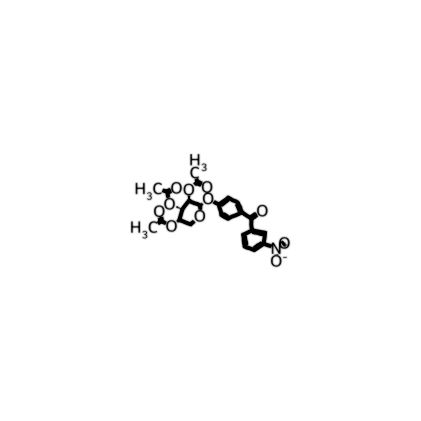 CC(=O)O[C@@H]1[C@@H](OC(C)=O)[C@@H](Oc2ccc(C(=O)c3cccc([N+](=O)[O-])c3)cc2)OC[C@H]1OC(C)=O